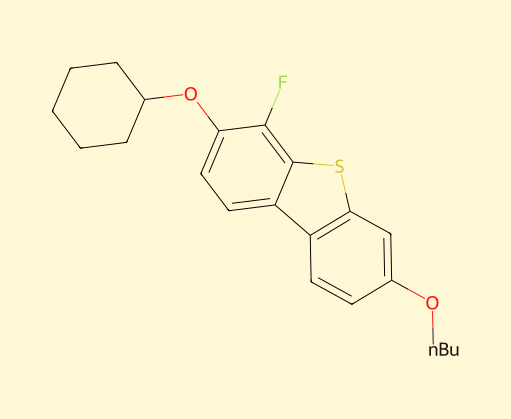 CCCCOc1ccc2c(c1)sc1c(F)c(OC3CCCCC3)ccc12